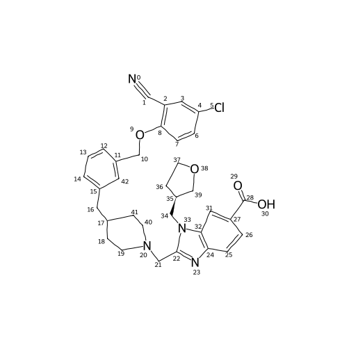 N#Cc1cc(Cl)ccc1OCc1cccc(CC2CCN(Cc3nc4ccc(C(=O)O)cc4n3C[C@H]3CCOC3)CC2)c1